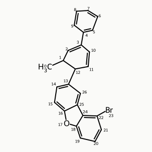 CC1C=C(c2ccccc2)C=CC1c1ccc2oc3cccc(Br)c3c2c1